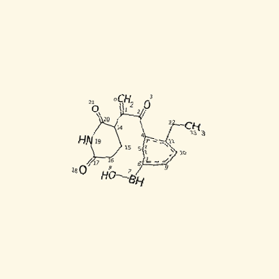 C=C(C(=O)c1cc(BO)ccc1CC)C1CCC(=O)NC1=O